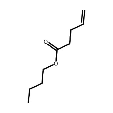 C=CCCC(=O)OCCCC